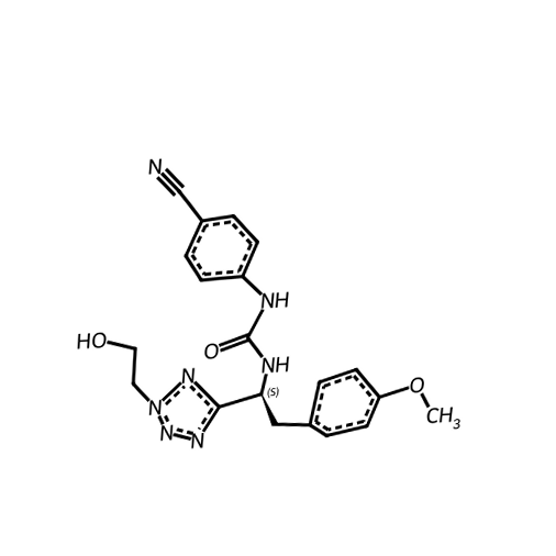 COc1ccc(C[C@H](NC(=O)Nc2ccc(C#N)cc2)c2nnn(CCO)n2)cc1